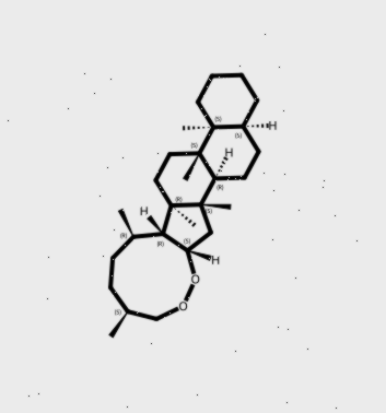 C[C@H]1CC[C@@H](C)[C@H]2[C@H](C[C@@]3(C)[C@@H]4CC[C@@H]5CCCC[C@]5(C)[C@@]4(C)CC[C@]23C)OOC1